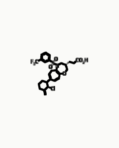 C=C1CCCC(C2=CCC3=C(C=C2)OC[C@@H](CCC(=O)O)CN3S(=O)(=O)c2cccc(C(F)(F)F)c2)[C@H]1Cl